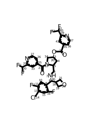 O=C(O[C@@H]1CC(CN[C@@H](c2cc(F)c(Cl)cc2F)C2COC2)N(C(=O)c2ccnc(C(F)F)c2)C1)c1ccnc(C(F)F)c1